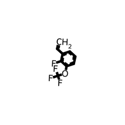 C=Cc1cccc(OC(F)(F)F)c1F